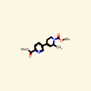 COC(=O)c1ccc(C2=CC(C)N(C(=O)OC(C)(C)C)CC2)cn1